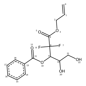 C=CCOC(=O)C(F)(F)C(OC(=O)c1ccccc1)C(O)CO